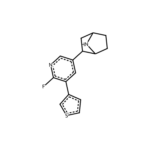 Fc1ncc(C2CC3CCC2N3)cc1-c1ccsc1